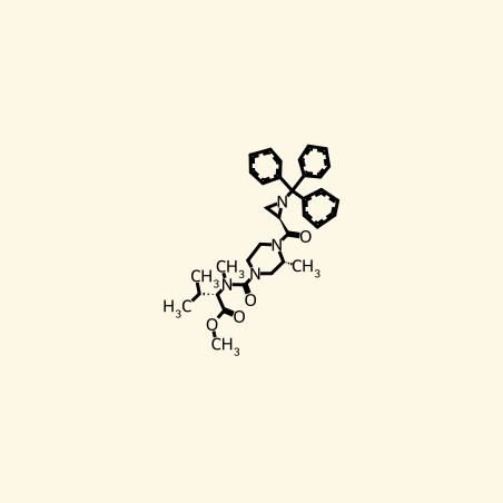 COC(=O)[C@H](C(C)C)N(C)C(=O)N1CCN(C(=O)[C@H]2CN2C(c2ccccc2)(c2ccccc2)c2ccccc2)[C@H](C)C1